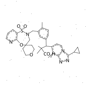 Cc1ccc(C(c2ccn3c(C4CC4)nnc3c2C)C(C)(C)C(=O)O)cc1CN1CC2(CCOCC2)Oc2ncccc2S1(=O)=O